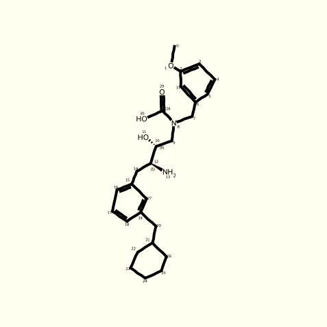 COc1cccc(CN(C[C@@H](O)[C@@H](N)Cc2cccc(CC3CCCCC3)c2)C(=O)O)c1